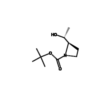 C[C@@H](O)[C@H]1CCN1C(=O)OC(C)(C)C